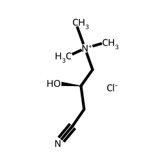 C[N+](C)(C)C[C@H](O)CC#N.[Cl-]